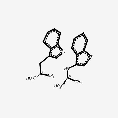 C[C@H](Nc1csc2ccccc12)C(=O)O.N[C@@H](Cc1coc2ccccc12)C(=O)O